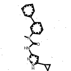 CN(C(=O)Nc1cc(C2CC2)[nH]n1)c1cccc(-c2ccccc2)c1